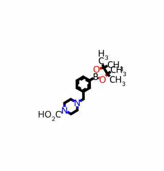 CC1(C)OB(c2cccc(CN3CCN(C(=O)O)CC3)c2)OC1(C)C